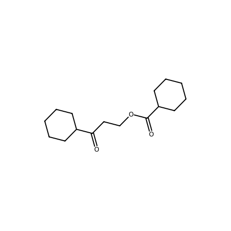 O=C(CCOC(=O)C1CCCCC1)C1CCCCC1